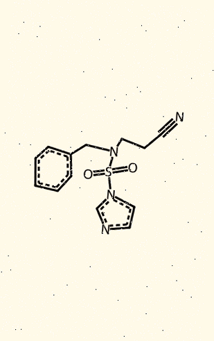 N#CCCN(Cc1ccccc1)S(=O)(=O)n1ccnc1